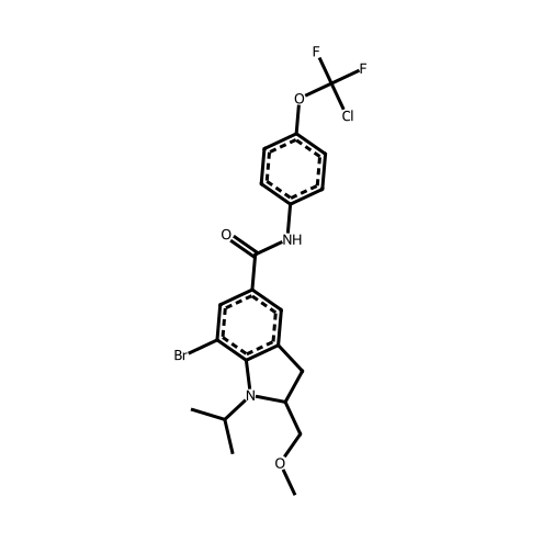 COCC1Cc2cc(C(=O)Nc3ccc(OC(F)(F)Cl)cc3)cc(Br)c2N1C(C)C